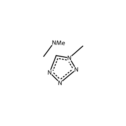 CNC.Cn1cnnn1